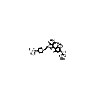 CN(C)C1CCN(CCn2nc(-c3c(F)cc(NC(=O)OC(C)(C)C)c4c3OCO4)c3c(N)ncnc32)CC1